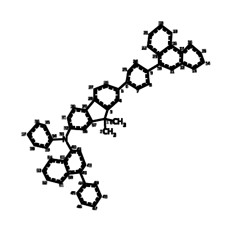 CC1(C)c2cc(-c3ccc(-c4cc5ccccc5c5ccccc45)cc3)ccc2-c2ccc(N(c3ccccc3)c3ccc(-c4ccccc4)c4ccccc34)cc21